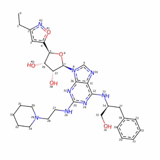 CCc1cc([C@H]2O[C@@H](n3cnc4c(N[C@H](CO)Cc5ccccc5)nc(NCCN5CCCCC5)nc43)[C@H](O)[C@@H]2O)on1